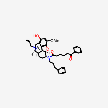 C=CCN1CC[C@]23c4c5c(O)cc(OC)c4O[C@H]2[C@@H](N(CCCc2ccccc2)C(=O)CCCCC(=O)c2ccccc2)CC[C@H]3[C@H]1C5